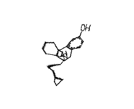 Oc1ccc2c(c1)C13CCCC[C@H]1C(C2)N(CC1CC1)CC3